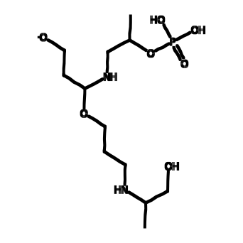 CC(CO)NCCCOC(CC[O])NCC(C)OP(=O)(O)O